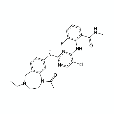 CCN1CCN(C(C)=O)c2cc(Nc3ncc(Cl)c(Nc4c(F)cccc4C(=O)NC)n3)ccc2C1